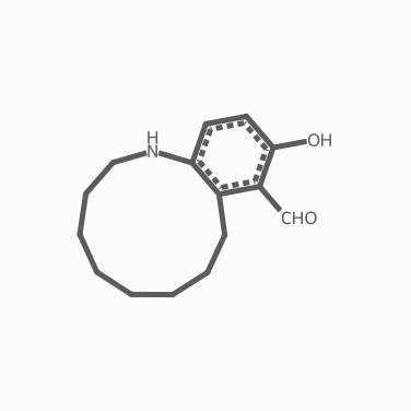 O=Cc1c(O)ccc2c1CCCCCCCCN2